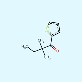 CCC(C)(C)C(=O)c1cccs1